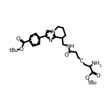 CC(C)(C)OC(=O)c1ccc(-c2cn3c(n2)C(CNC(=O)CCCCC(N)C(=O)OC(C)(C)C)CCC3)cc1